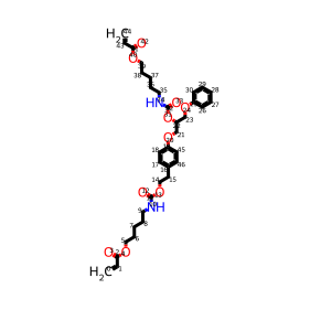 C=CC(=O)OCCCCCNC(=O)OCCc1ccc(OCC(COc2ccccc2)OC(=O)NCCCCCOC(=O)C=C)cc1